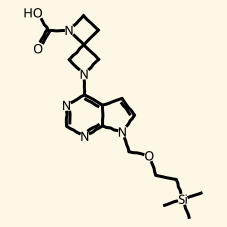 C[Si](C)(C)CCOCn1ccc2c(N3CC4(CCN4C(=O)O)C3)ncnc21